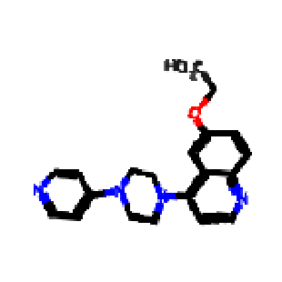 O=C(O)COc1ccc2nccc(N3CCN(c4ccncc4)CC3)c2c1